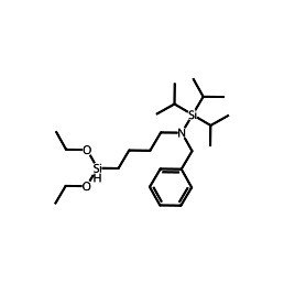 CCO[SiH](CCCCN(Cc1ccccc1)[Si](C(C)C)(C(C)C)C(C)C)OCC